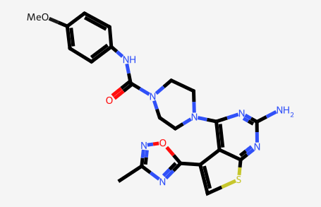 COc1ccc(NC(=O)N2CCN(c3nc(N)nc4scc(-c5nc(C)no5)c34)CC2)cc1